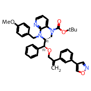 C=C(CO[C@@H](c1ccccc1)[C@H]1CN(C(=O)OC(C)(C)C)c2cccnc2N1Cc1ccc(OC)cc1)c1cccc(-c2cnoc2)c1